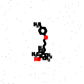 Bc1ccc(OCCCCC(C)(C)[Si](C)(C)O)cc1